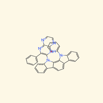 C1=NC2=NC(c3ccccc3)=C(n3c4ccccc4c4ccc5c6ccccc6n(-c6ccccc6)c5c43)NC2N=C1